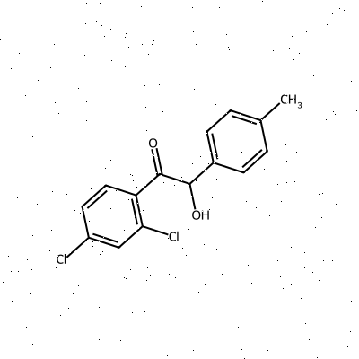 Cc1ccc(C(O)C(=O)c2ccc(Cl)cc2Cl)cc1